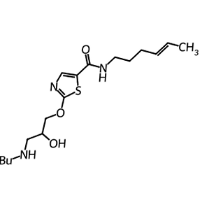 C/C=C/CCCNC(=O)c1cnc(OCC(O)CNC(C)(C)C)s1